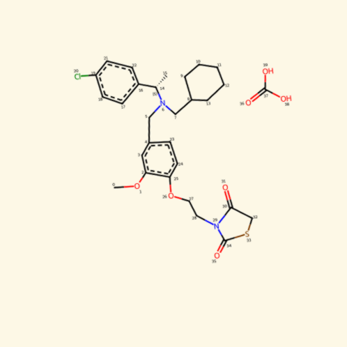 COc1cc(CN(CC2CCCCC2)[C@@H](C)c2ccc(Cl)cc2)ccc1OCCN1C(=O)CSC1=O.O=C(O)O